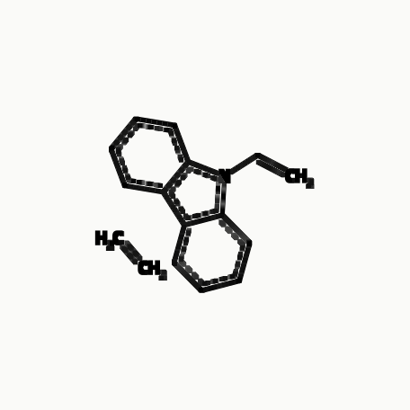 C=C.C=Cn1c2ccccc2c2ccccc21